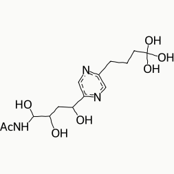 CC(=O)NC(O)C(O)CC(O)c1cnc(CCCC(O)(O)O)cn1